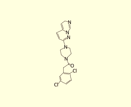 O=C(Cc1cc(Cl)ccc1Cl)N1CCN(C2=NN3C=NCC=C3C=C2)CC1